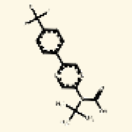 CC(C)(C)N(C(=O)O)c1cnc(-c2ccc(C(F)(F)F)cc2)cn1